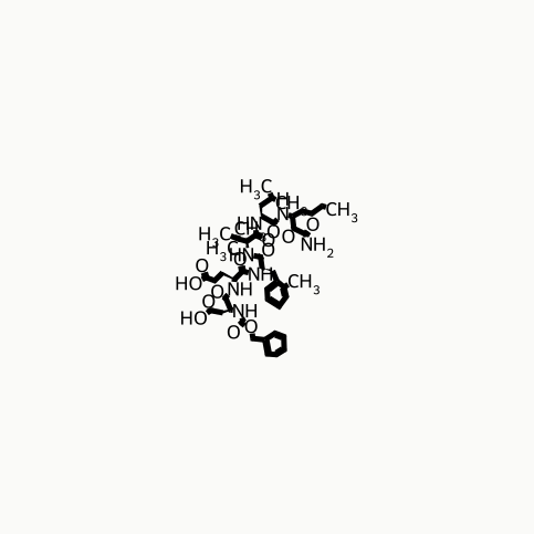 CCCCC(NC(=O)[C@H](CC(C)C)NC(=O)[C@@H](NC(=O)[C@H](Cc1ccccc1C)NC(=O)[C@H](CCC(=O)O)NC(=O)[C@H](CC(=O)O)NC(=O)OCc1ccccc1)C(C)(C)C)C(=O)C(N)=O